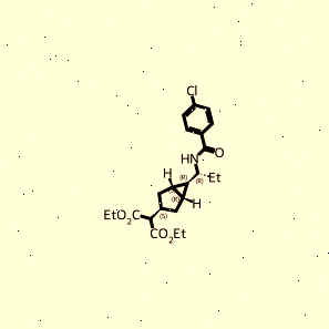 CCOC(=O)C(C(=O)OCC)[C@@H]1C[C@@H]2[C@H](C1)[C@H]2[C@@H](CC)NC(=O)c1ccc(Cl)cc1